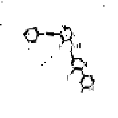 Cc1cc(-c2ncc(CNc3ncnc(C#Cc4ccccc4)c3F)cc2F)ccn1